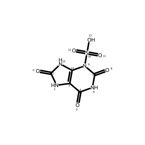 O=c1[nH]c2c(=O)[nH]c(=O)n(S(=O)(=O)O)c2[nH]1